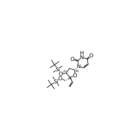 C=C[C@]1(CO[Si](C)(C)C(C)(C)C)O[C@@H](n2ccc(=O)[nH]c2=O)C[C@@H]1O[Si](C)(C)C(C)(C)C